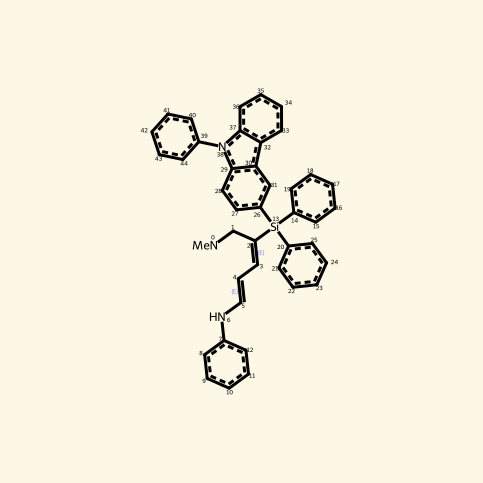 CNC/C(=C\C=C\Nc1ccccc1)[Si](c1ccccc1)(c1ccccc1)c1ccc2c(c1)c1ccccc1n2-c1ccccc1